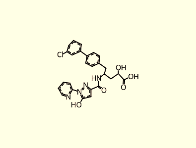 O=C(NC(Cc1ccc(-c2cccc(Cl)c2)cc1)CC(O)C(=O)O)c1cc(O)n(-c2ccccn2)n1